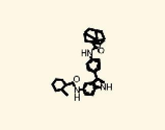 CC1CCCCC1C(=O)Nc1ccc2[nH]cc(-c3ccc(NC(=O)C45CC6CC(C4)C(=O)C(C6)C5)cc3)c2c1